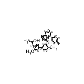 Cc1ccc(-c2cc(C)n(C[C@@H](C)O)n2)cc1Nc1nnc2n1[C@H](c1ccc(F)cc1)COC2